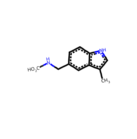 Cc1c[nH]c2ccc(CNC(=O)O)cc12